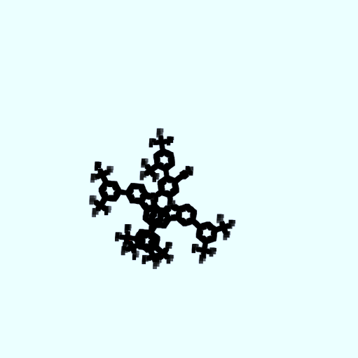 N#Cc1cc(-n2c3ccc(-c4cc(C(F)(F)F)cc(C(F)(F)F)c4)cc3c3cc(-c4cc(C(F)(F)F)cc(C(F)(F)F)c4)ccc32)c(-n2c3ccc(-c4cc(C(F)(F)F)cc(C(F)(F)F)c4)cc3c3cc(-c4cc(C(F)(F)F)cc(C(F)(F)F)c4)ccc32)cc1-c1ccc(C(F)(F)F)cc1C(F)(F)F